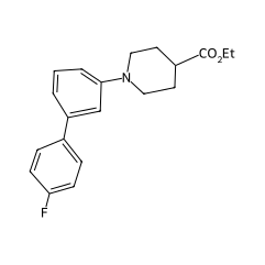 CCOC(=O)C1CCN(c2cccc(-c3ccc(F)cc3)c2)CC1